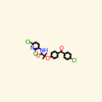 CC(C)(Oc1ccc(C(=O)c2ccc(Cl)cc2)cc1)C(=O)Nc1ccc(Cl)nc1Cl